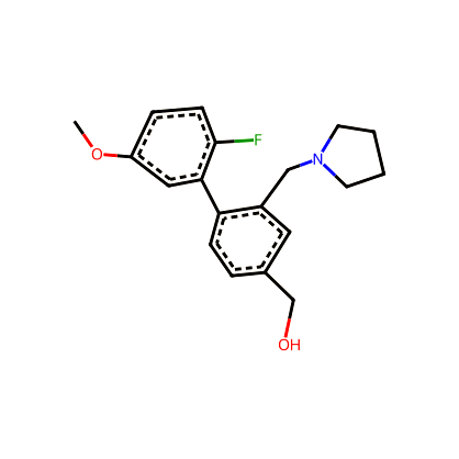 COc1ccc(F)c(-c2ccc(CO)cc2CN2CCCC2)c1